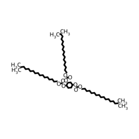 CC(C)CCCCCCCCCCCCCCCOC(=O)OC1CCC(OC(=O)OCCCCCCCCCCCCCCCC(C)C)C(OC(=O)OCCCCCCCCCCCCCCCC(C)C)C1